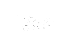 CC(C)COc1ccc(CN(C(=O)NCc2ccc(F)cc2)[C@@H]2C[C@@H]3CCCN3C[C@@H]2F)cc1